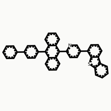 c1ccc(-c2ccc(-c3c4ccccc4c(-c4ccc(-c5cccc6c5sc5ccccc56)cn4)c4ccccc34)cc2)cc1